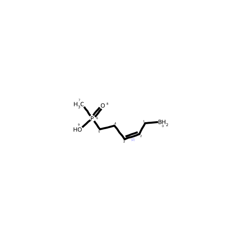 BC/C=C\CCP(C)(=O)O